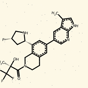 Cc1c[nH]c2ncc(-c3cc4c(c([C@@H]5C[C@H](F)CN5)c3)CN(C(=O)[C@](C)(O)C(F)(F)F)CC4)cc12